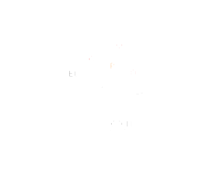 CCOP(=O)(CCC(=O)O)OCC